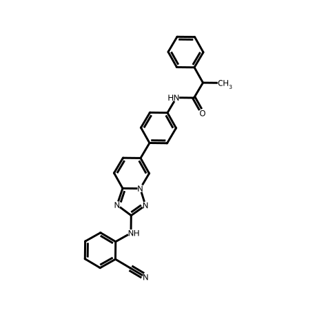 CC(C(=O)Nc1ccc(-c2ccc3nc(Nc4ccccc4C#N)nn3c2)cc1)c1ccccc1